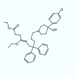 CCOC(=O)CCC(=NCC(CCCN1CCC(O)(c2ccc(Cl)cc2)CC1)(c1ccccc1)c1ccccc1)OCC